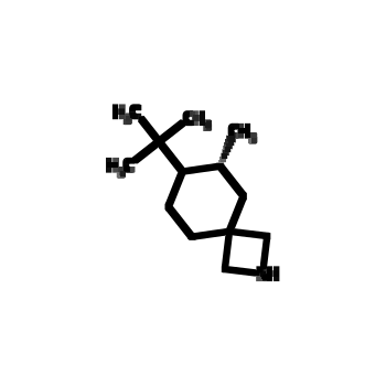 C[C@@H]1CC2(CCC1C(C)(C)C)CNC2